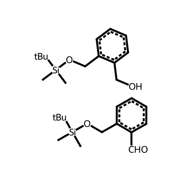 CC(C)(C)[Si](C)(C)OCc1ccccc1C=O.CC(C)(C)[Si](C)(C)OCc1ccccc1CO